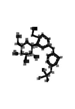 OCc1ccc(Cc2ccc(CC(F)(F)F)cc2)cc1[C@@H]1O[C@H](CO)[C@@H](O)[C@H](O)[C@H]1O